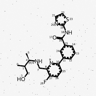 CC(CO)[C@@H](C)NCc1nc(-c2cccc(C(=O)Nc3nccs3)c2)ccc1F